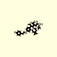 Cc1nc(C)c([C@H](OC(C)(C)C)C(=O)O)c(N2CCC3(CC2)CC3)c1-c1ccc(OCCc2ccc(F)cc2)cc1